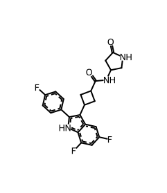 O=C1CC(NC(=O)C2CC(c3c(-c4ccc(F)cc4)[nH]c4c(F)cc(F)cc34)C2)CN1